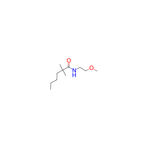 CCCCC(C)(C)C(=O)NCCOC